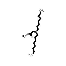 CCCCCCCCN(CCCCCCCC)CC(=O)OC